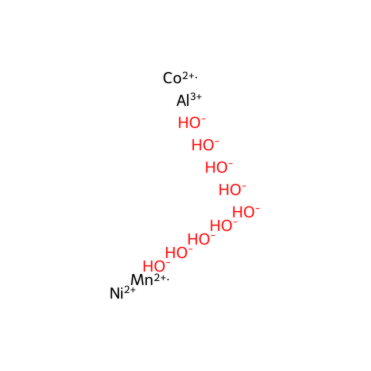 [Al+3].[Co+2].[Mn+2].[Ni+2].[OH-].[OH-].[OH-].[OH-].[OH-].[OH-].[OH-].[OH-].[OH-]